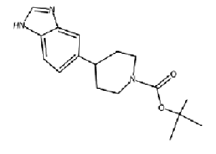 CC(C)(C)OC(=O)N1CCC(c2ccc3[nH]cnc3c2)CC1